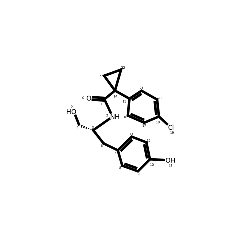 O=C(N[C@@H](CO)Cc1ccc(O)cc1)C1(c2ccc(Cl)cc2)CC1